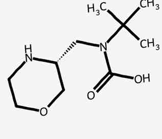 CC(C)(C)N(C[C@@H]1COCCN1)C(=O)O